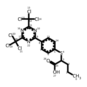 CCCC(Sc1ccc(-c2nc(C(Cl)(Cl)Cl)nc(C(Cl)(Cl)Cl)n2)cc1)C(=O)O